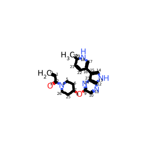 C=CC(=O)N1CCC(Oc2cnc3[nH]cc(C4=CNC(C)C=C4)c3n2)CC1